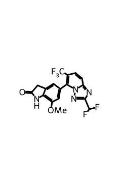 COc1cc(-c2c(C(F)(F)F)ccc3nc(C(F)F)nn23)cc2c1NC(=O)C2